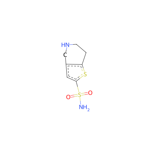 NS(=O)(=O)c1cc2c(s1)CCNC2